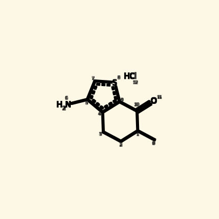 CC1CCc2c(N)csc2C1=O.Cl